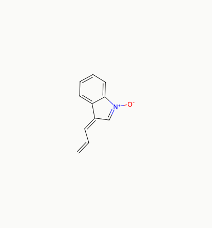 C=CC=C1C=[N+]([O-])c2ccccc21